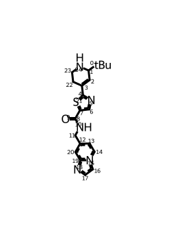 CC(C)(C)C1C=C(c2ncc(C(=O)NCc3ccn4ccnc4c3)s2)CCN1